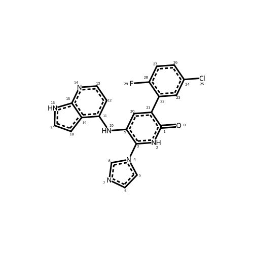 O=c1[nH]c(-n2ccnc2)c(Nc2ccnc3[nH]ccc23)cc1-c1cc(Cl)ccc1F